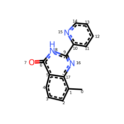 Cc1cccc2c(=O)[nH]c(-c3ccccn3)nc12